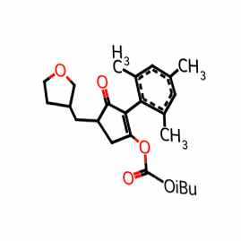 Cc1cc(C)c(C2=C(OC(=O)OCC(C)C)CC(CC3CCOC3)C2=O)c(C)c1